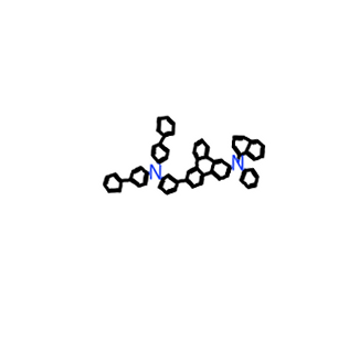 c1ccc(-c2ccc(N(c3ccc(-c4ccccc4)cc3)c3cccc(-c4ccc5c6ccc(N(c7ccccc7)c7cccc8ccccc78)cc6c6ccccc6c5c4)c3)cc2)cc1